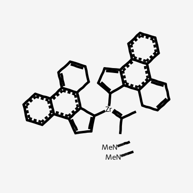 CNC.CNC.C[C](C)=[Zr]([C]1=CC=c2c1c1c(c3ccccc23)=CC=CC1)[C]1=CC=c2c1c1c(c3ccccc23)=CC=CC1